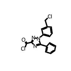 O=C(Cl)c1nc(-c2ccccc2)n(-c2cccc(CCl)c2)n1